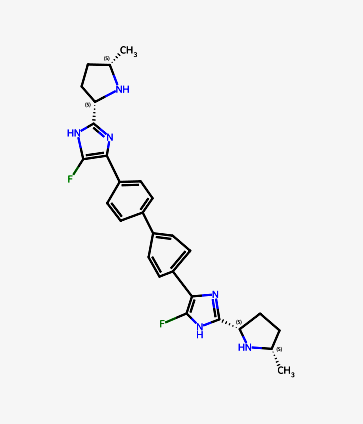 C[C@H]1CC[C@@H](c2nc(-c3ccc(-c4ccc(-c5nc([C@@H]6CC[C@H](C)N6)[nH]c5F)cc4)cc3)c(F)[nH]2)N1